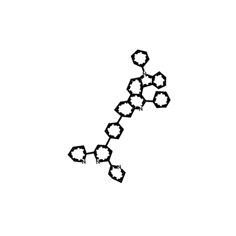 c1ccc(-c2nc3cc(-c4ccc(-c5cc(-c6ccccn6)nc(-c6ccccn6)c5)cc4)ccc3c3ccc4c(c5ccccc5n4-c4ccccc4)c23)cc1